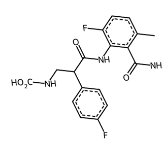 Cc1ccc(F)c(NC(=O)C(CNC(=O)O)c2ccc(F)cc2)c1C(N)=O